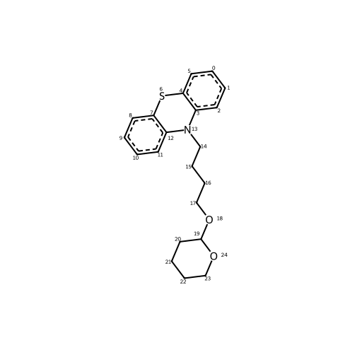 c1ccc2c(c1)Sc1ccccc1N2CCCCOC1CCCCO1